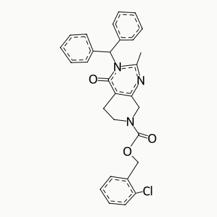 Cc1nc2c(c(=O)n1C(c1ccccc1)c1ccccc1)CCN(C(=O)OCc1ccccc1Cl)C2